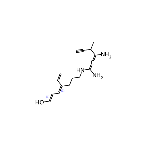 C#CC(C)C(N)=C=C(N)NCCC/C(C=C)=C/C=C/O